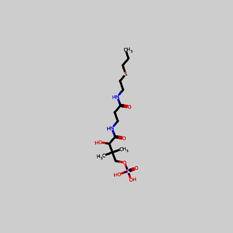 CCCSCCNC(=O)CCNC(=O)C(O)C(C)(C)COP(=O)(O)O